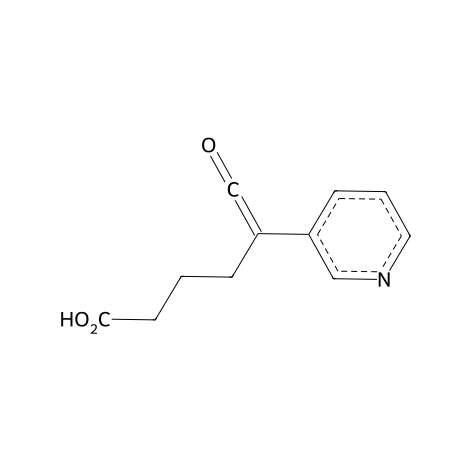 O=C=C(CCCC(=O)O)c1cccnc1